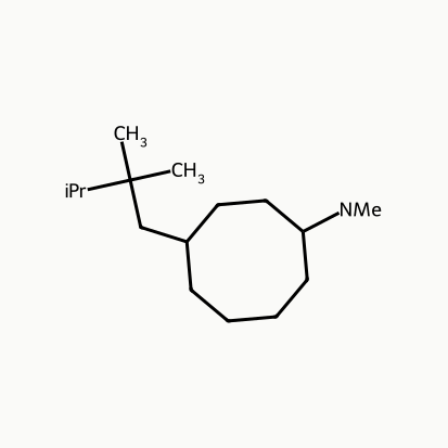 CNC1CCCCC(CC(C)(C)C(C)C)CC1